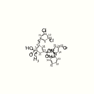 CC1(C(=O)O)C=C(Sc2cc(Cl)cc(Cl)c2)C=C(C(=O)O)C1.O=Cc1cnn(-c2ccccc2)c1